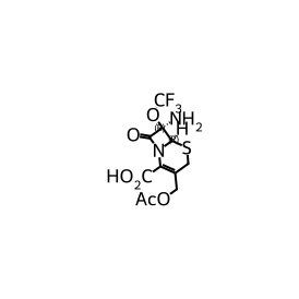 CC(=O)OCC1=C(C(=O)O)N2C(=O)[C@@](N)(OC(F)(F)F)[C@H]2SC1